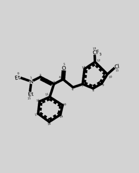 CCN(C=C(C(=O)Cc1ccc(Cl)c(C(F)(F)F)c1)c1ccccc1)CC